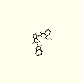 Cc1c(-[n+]2c(C)ccc3c(C)c(-c4cc5ccccc5o4)sc32)cc(C(C)(C)C)c2ccccc12